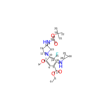 CCOC(=O)c1cc(OC)c(N2CCC(NC(=O)OC(C)(C)C)C2)c(F)c1NC1CC1